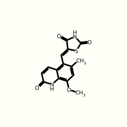 COc1cc(C)c(C=C2SC(=O)NC2=O)c2ccc(=O)[nH]c12